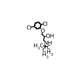 CC(C)(C)NC[C@H](O)COc1cc(Cl)ccc1Cl